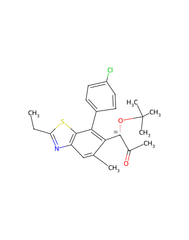 CCc1nc2cc(C)c([C@H](OC(C)(C)C)C(C)=O)c(-c3ccc(Cl)cc3)c2s1